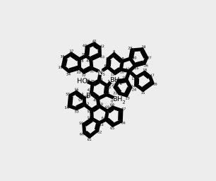 Bc1c(B)c(N(c2ccc3c(c2)C(c2ccccc2)(c2ccccc2)c2ccccc2-3)c2cc3ccccc3c3ccccc23)c(O)c(B)c1-c1c(-c2ccccc2)c2ccccc2c2ccccc12